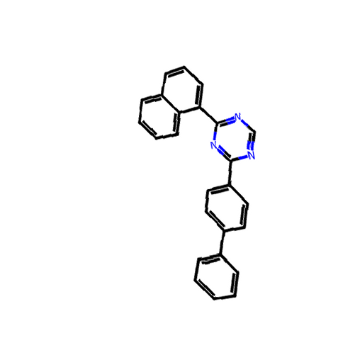 c1ccc(-c2ccc(-c3ncnc(-c4cccc5ccccc45)n3)cc2)cc1